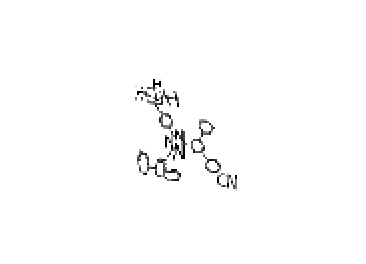 N#Cc1ccc(-c2cc(-c3ccccc3)cc(-c3nc(-c4ccc(C56C[C@H]7C[C@@H](C5)C[C@@H](C6)C7)cc4)nc(-c4cc(-c5ccccc5)cc5ccccc45)n3)c2)cc1